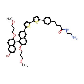 COCCCOc1ccc2cc(Br)ccc2c1-c1c(OCCCOC)ccc2cc(-c3ccc(-c4ccc(-c5ccc(CCCC(=O)NCCN)cc5)s4)s3)ccc12